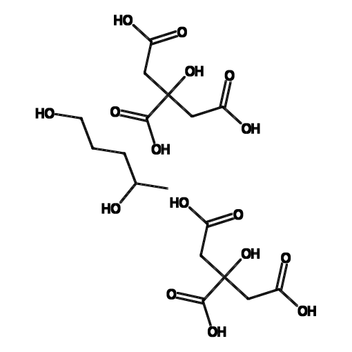 CC(O)CCCO.O=C(O)CC(O)(CC(=O)O)C(=O)O.O=C(O)CC(O)(CC(=O)O)C(=O)O